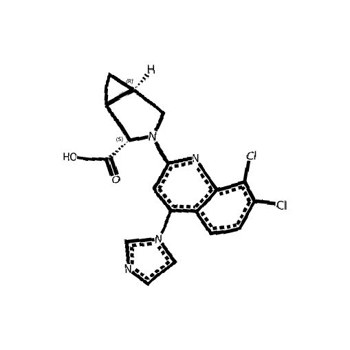 O=C(O)[C@@H]1C2C[C@H]2CN1c1cc(-n2ccnc2)c2ccc(Cl)c(Cl)c2n1